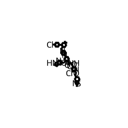 Cc1nc2c(s1)CCC(COc1ncc(S(=O)(=O)NC(=O)c3ccc(N4CCN(CC5=C(c6ccc(Cl)cc6)CC(C)(C)CC5)CC4)cc3Oc3cnc4[nH]ccc4c3)cc1Cl)C2